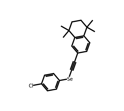 CC1(C)CCC(C)(C)c2cc(C#C[Se]c3ccc(Cl)cc3)ccc21